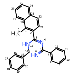 Cc1c(/C(=N/C(=N)c2ccccc2)NCc2ccccc2)ccc2ccccc12